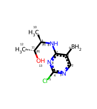 Bc1cnc(Cl)nc1N[C@H](C)[C@@H](C)O